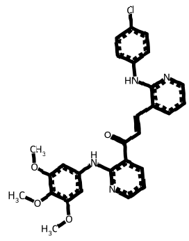 COc1cc(Nc2ncccc2C(=O)C=Cc2cccnc2Nc2ccc(Cl)cc2)cc(OC)c1OC